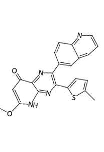 COc1cc(=O)c2nc(-c3ccc4ncccc4c3)c(-c3ccc(C)s3)nc2[nH]1